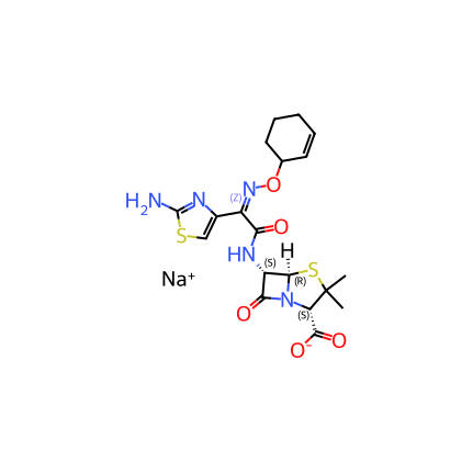 CC1(C)S[C@@H]2[C@@H](NC(=O)/C(=N\OC3C=CCCC3)c3csc(N)n3)C(=O)N2[C@H]1C(=O)[O-].[Na+]